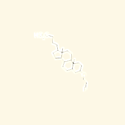 CC12CCC3C(CCC4CC(OCCF)CCC43C)C1CCC2CCCC(=O)O